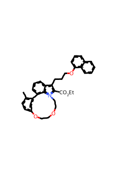 CCOC(=O)c1c(CCCOc2cccc3ccccc23)c2cccc3c2n1CCOCCOc1ccc(C)c-3c1